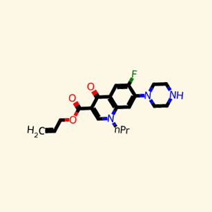 C=CCOC(=O)c1cn(CCC)c2cc(N3CCNCC3)c(F)cc2c1=O